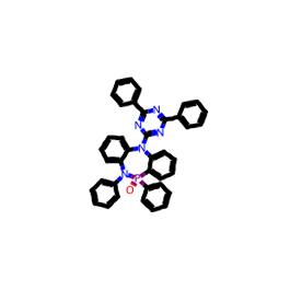 O=P1(c2ccccc2)c2ccccc2N(c2nc(-c3ccccc3)nc(-c3ccccc3)n2)c2ccccc2N1c1ccccc1